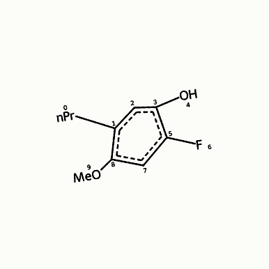 CCCc1cc(O)c(F)cc1OC